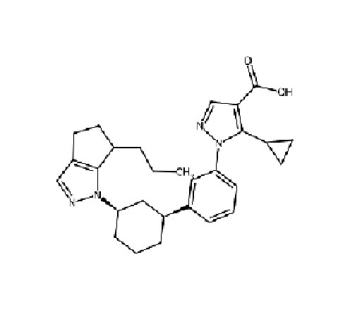 CCCC1CCc2cnn([C@@H]3CCC[C@H](c4cccc(-n5ncc(C(=O)O)c5C5CC5)c4)C3)c21